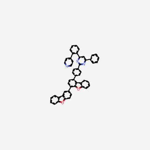 c1ccc(-c2cc(-c3ccccc3-c3ccncc3)nc(-c3ccc(-c4ccc(-c5ccc6oc7ccccc7c6c5)c5oc6ccccc6c45)cc3)n2)cc1